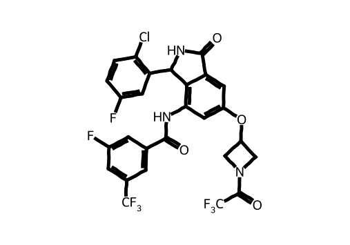 O=C(Nc1cc(OC2CN(C(=O)C(F)(F)F)C2)cc2c1C(c1cc(F)ccc1Cl)NC2=O)c1cc(F)cc(C(F)(F)F)c1